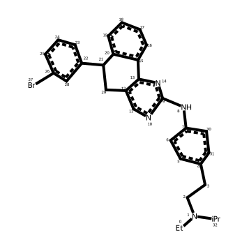 CCN(CCc1ccc(Nc2ncc3c(n2)-c2ccccc2C(c2cccc(Br)c2)C3)cc1)C(C)C